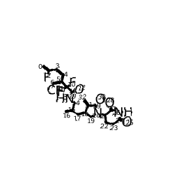 C=C(F)/C=C\C(=C\C(F)(F)F)C(F)(F)C(=O)NCC(=C)/C=C1/CN(C2CCC(=O)NC2=O)C(=O)C1=C